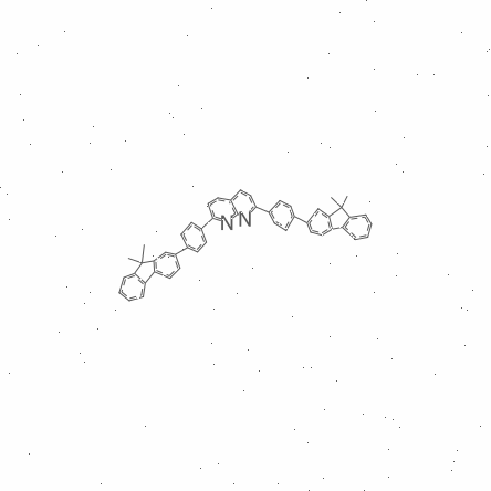 CC1(C)c2ccccc2-c2ccc(-c3ccc(-c4ccc5ccc(-c6ccc(-c7ccc8c(c7)C(C)(C)c7ccccc7-8)cc6)nc5n4)cc3)cc21